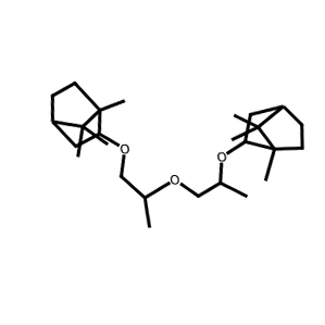 CC(COC1CC2CCC1(C)C2(C)C)OCC(C)OC1CC2CCC1(C)C2(C)C